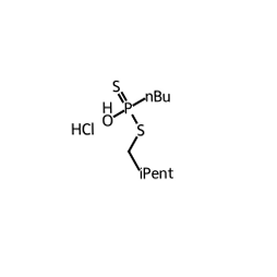 CCCCP(O)(=S)SCC(C)CCC.Cl